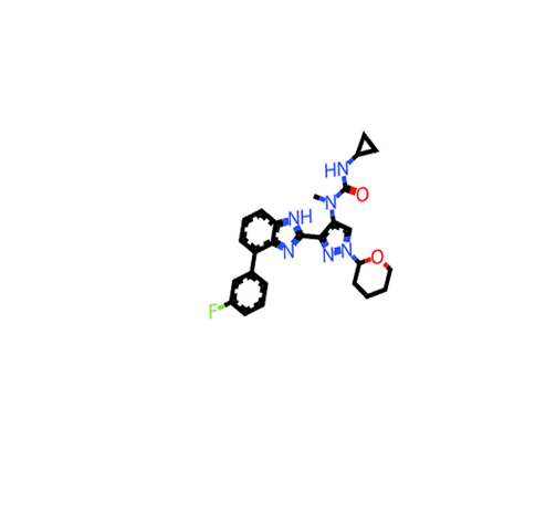 CN(C(=O)NC1CC1)c1cn(C2CCCCO2)nc1-c1nc2c(-c3cccc(F)c3)cccc2[nH]1